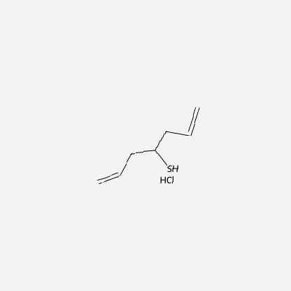 C=CCC(S)CC=C.Cl